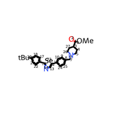 COC(=O)C1CCN(Cc2ccc(-c3cnc(-c4ccc(C(C)(C)C)cc4)[se]3)cc2)CC1